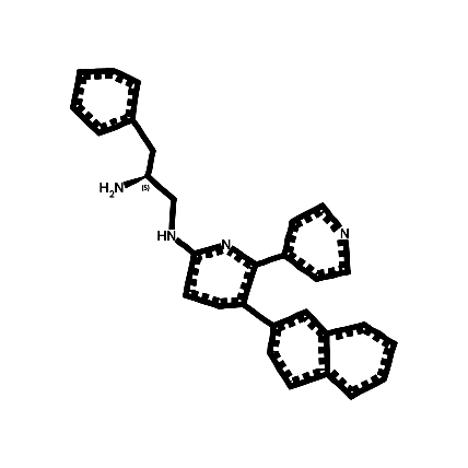 N[C@H](CNc1ccc(-c2ccc3ccccc3c2)c(-c2ccncc2)n1)Cc1ccccc1